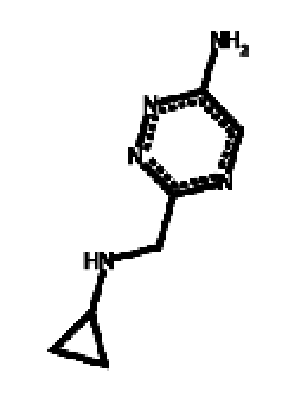 Nc1cnc(CNC2CC2)nn1